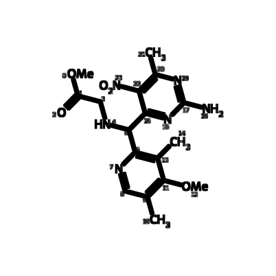 COC(=O)CNC(c1ncc(C)c(OC)c1C)c1nc(N)nc(C)c1[N+](=O)[O-]